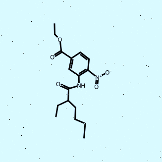 CCCCC(CC)C(=O)Nc1cc(C(=O)OCC)ccc1[N+](=O)[O-]